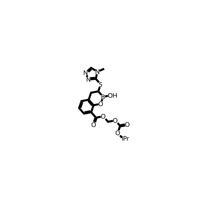 CC(C)OC(=O)OCOC(=O)c1cccc2c1OB(O)C(Sc1nncn1C)C2